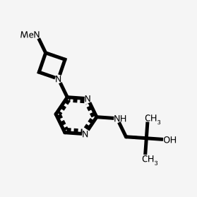 CNC1CN(c2ccnc(NCC(C)(C)O)n2)C1